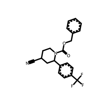 N#CC1CCN(C(=O)OCc2ccccc2)C(c2ccc(C(F)(F)F)cc2)C1